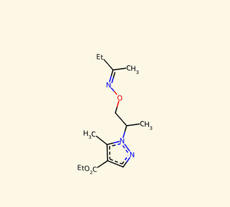 CCOC(=O)c1cnn(C(C)CO/N=C(\C)CC)c1C